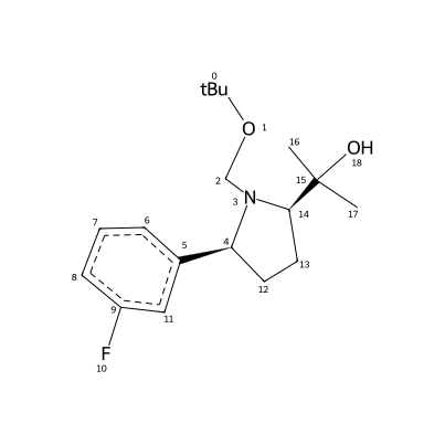 CC(C)(C)OCN1[C@H](c2cccc(F)c2)CC[C@@H]1C(C)(C)O